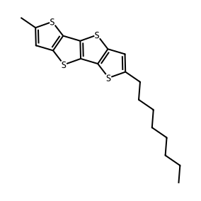 CCCCCCCCc1cc2sc3c4sc(C)cc4sc3c2s1